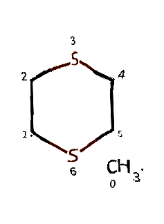 [CH3].[CH]1CSCCS1